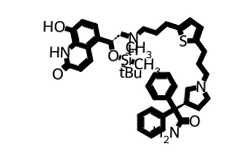 CC(C)(C)[Si](C)(C)O[C@@H](CNCCCc1ccc(CCCN2CC[C@@H](C(C(N)=O)(c3ccccc3)c3ccccc3)C2)s1)c1ccc(O)c2[nH]c(=O)ccc12